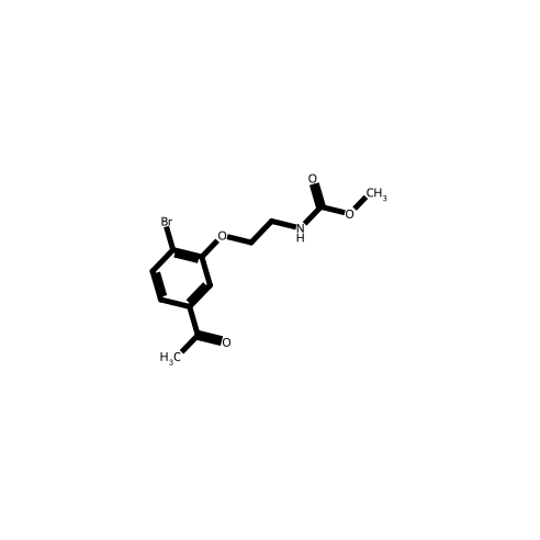 COC(=O)NCCOc1cc(C(C)=O)ccc1Br